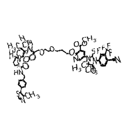 COC(=O)c1cc(N2C(=S)N(c3ccc(C#N)c(C(F)(F)F)c3F)C(=O)C2(C)C)cnc1OCCCOCCOCC(=O)N[C@H](C(=O)N1CCC[C@H]1C(=O)NCc1ccc(-c2scnc2C)cc1)C(C)(C)C